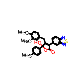 COc1ccc(CC2=C(c3ccc4nsnc4c3)C(=O)OC2(O)c2ccc(SC)cc2)cc1OC